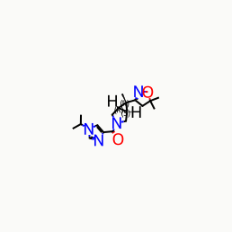 CC(C)n1cnc(C(=O)N2C[C@@H]3[C@H](C2)[C@@]3(C)C2=NOC(C)(C)C2)c1